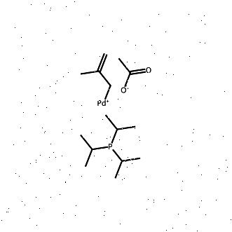 C=C(C)[CH2][Pd+].CC(=O)[O-].CC(C)P(C(C)C)C(C)C